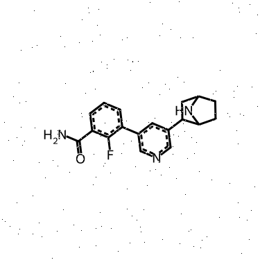 NC(=O)c1cccc(-c2cncc(C3CC4CCC3N4)c2)c1F